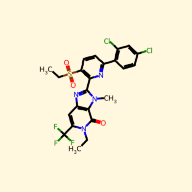 CCn1c(C(F)(F)F)cc2nc(-c3nc(-c4ccc(Cl)cc4Cl)ccc3S(=O)(=O)CC)n(C)c2c1=O